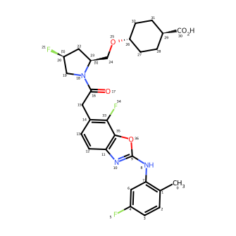 Cc1ccc(F)cc1Nc1nc2ccc(CC(=O)N3C[C@@H](F)C[C@H]3CO[C@H]3CC[C@H](C(=O)O)CC3)c(F)c2o1